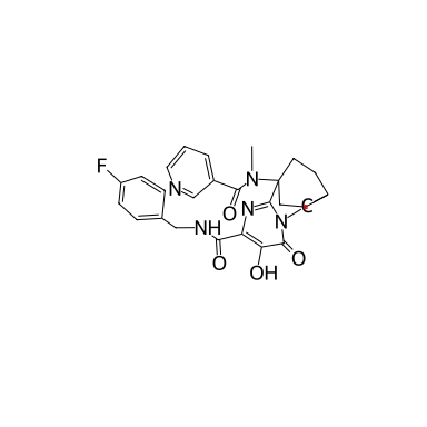 CN(C(=O)c1cccnc1)C12CCC(CC1)Cn1c2nc(C(=O)NCc2ccc(F)cc2)c(O)c1=O